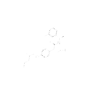 CCCC(C)COc1ccc([C@@H](CO)C(=O)N[C@H](C)c2cccc(C)c2)cc1